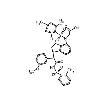 COc1cccc(C(C(=O)NS(=O)(=O)c2ccccc2C)N2CCc3c2cccc3N(CC(=O)O)S(=O)(=O)c2c(C)cc(C)cc2C)c1